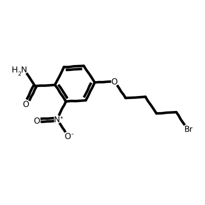 NC(=O)c1ccc(OCCCCBr)cc1[N+](=O)[O-]